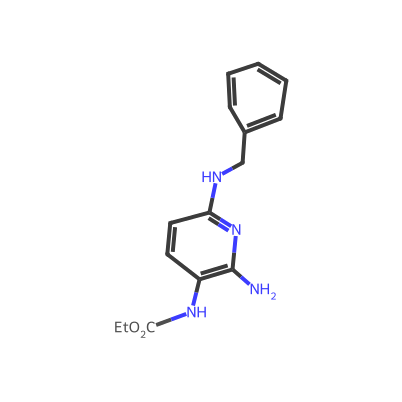 CCOC(=O)Nc1ccc(NCc2ccccc2)nc1N